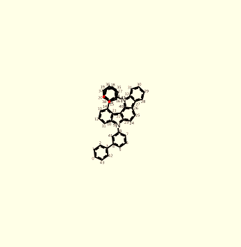 c1ccc(-c2cccc(-n3c4cccc(-c5ccccc5)c4c4c3ccc3c5ccccc5n(-c5ccccc5)c34)c2)cc1